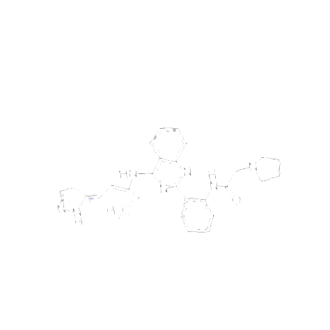 C=C/C(=C\C=C1/CC=NN1)Nc1nc(-c2ccccc2NC(=O)CN2CCCC2)nc2ccccc12